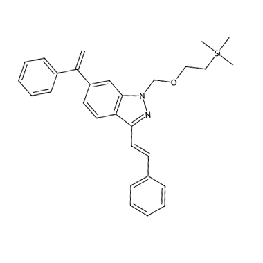 C=C(c1ccccc1)c1ccc2c(/C=C/c3ccccc3)nn(COCC[Si](C)(C)C)c2c1